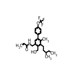 C=CC(=O)NCc1cc(-c2ccc(OC(F)(F)F)cc2)c(C)c(CCC(C)CC)c1CO